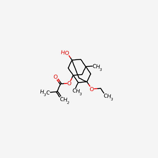 C=C(C)C(=O)OC12CC3(C)CC(O)(CC(OCC)(C3)C1C)C2